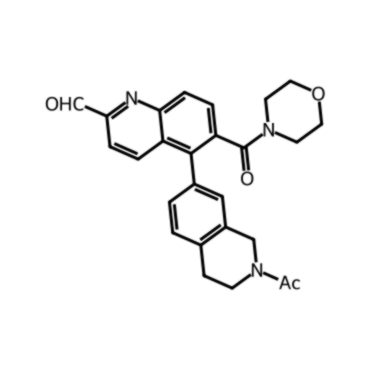 CC(=O)N1CCc2ccc(-c3c(C(=O)N4CCOCC4)ccc4nc(C=O)ccc34)cc2C1